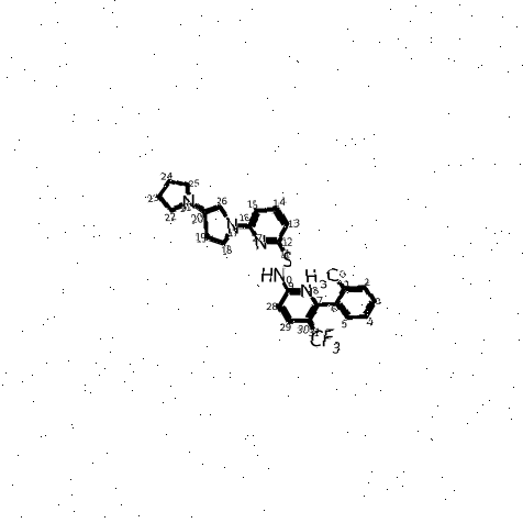 Cc1ccccc1-c1nc(NSc2cccc(N3CCC(N4CCCC4)C3)n2)ccc1C(F)(F)F